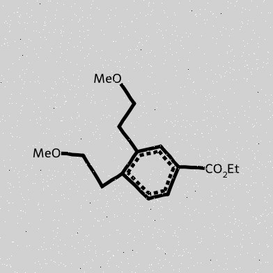 CCOC(=O)c1ccc(CCOC)c(CCOC)c1